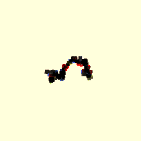 COc1ncc(-c2ccc3nccc(-c4ccc(COC(=O)OCCSSCC(NC(=O)CCC(=O)NC(=O)c5cccc6c5CN(C(=O)CC5C[C@@H](C(=O)N7CC(F)(F)C[C@H]7C#N)NC5=O)C6)C(=O)O)nc4)c3c2)cc1NS(=O)(=O)c1ccc(F)cc1F